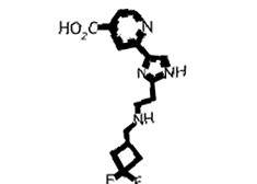 O=C(O)c1ccnc(-c2c[nH]c(CCNCC3CC(F)(F)C3)n2)c1